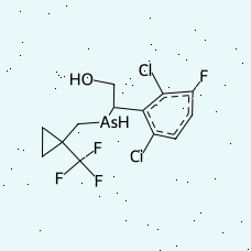 OCC([AsH]CC1(C(F)(F)F)CC1)c1c(Cl)ccc(F)c1Cl